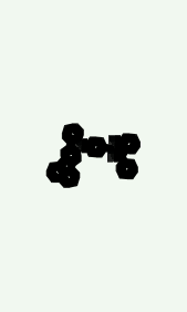 c1ccc(-c2nc(-c3ccc(-n4c5ccccc5c5cc6c(cc54)-c4cccc5cccc-6c45)cc3)nc3ccccc23)cc1